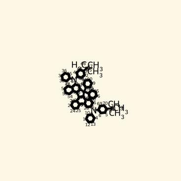 CC(C)(C)c1ccc(N(c2ccccc2)c2ccc3c4c(c5ccccc5c3c2)-c2c(cc(N(c3ccccc3)c3ccc(C(C)(C)C)cc3)c3ccccc23)C4(c2ccccc2)c2ccccc2)cc1